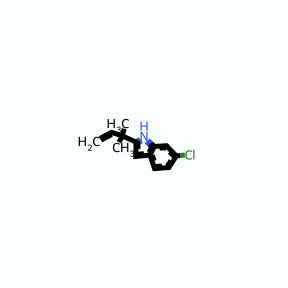 C=CC(C)(C)c1cc2ccc(Cl)cc2[nH]1